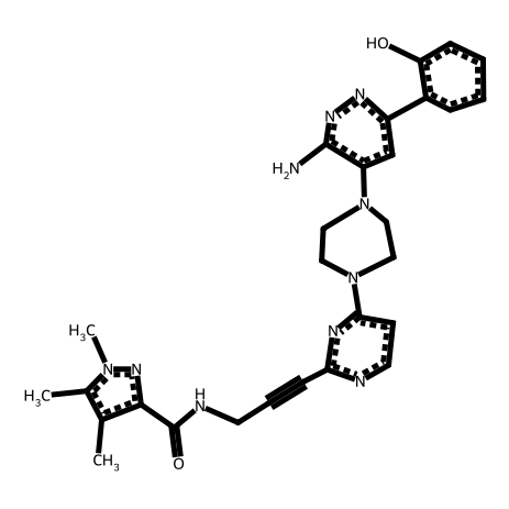 Cc1c(C(=O)NCC#Cc2nccc(N3CCN(c4cc(-c5ccccc5O)nnc4N)CC3)n2)nn(C)c1C